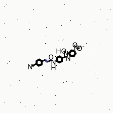 N#Cc1ccc(/C=C/C(=O)Nc2ccc(-c3nc4ccc([N+](=O)[O-])cc4n3O)cc2)cc1